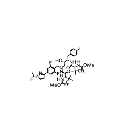 COC(=O)N[C@H](C(=O)N[C@@H](Cc1ccc(I)cc1)[C@@H](O)CN(Cc1c(F)cc(-c2ccn(C(C)F)n2)cc1F)NC(=O)[C@@H](NC(=O)OC)C(C)(C)C(F)(F)F)C(C)(C)C(F)(F)F